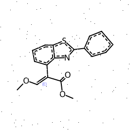 CO/C=C(/C(=O)OC)c1cccc2sc(-c3ccccc3)nc12